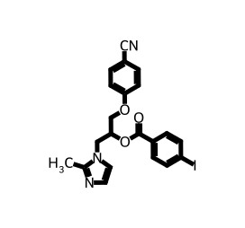 Cc1nccn1CC(COc1ccc(C#N)cc1)OC(=O)c1ccc(I)cc1